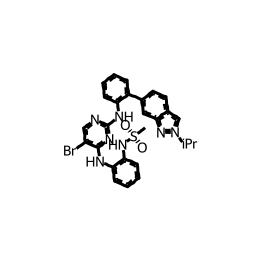 CC(C)n1cc2ccc(-c3ccccc3Nc3ncc(Br)c(Nc4ccccc4NS(C)(=O)=O)n3)cc2n1